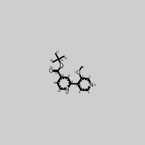 COc1cnccc1-c1cc(C(=O)OC(C)(C)C)ccn1